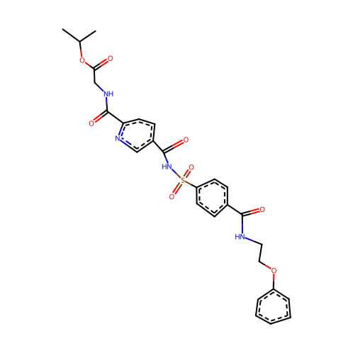 CC(C)OC(=O)CNC(=O)c1ccc(C(=O)NS(=O)(=O)c2ccc(C(=O)NCCOc3ccccc3)cc2)cn1